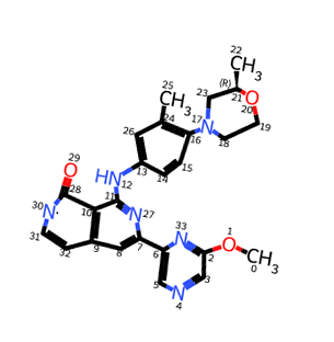 COc1cncc(-c2cc3c(c(Nc4ccc(N5CCO[C@H](C)C5)c(C)c4)n2)C(=O)[N]C=C3)n1